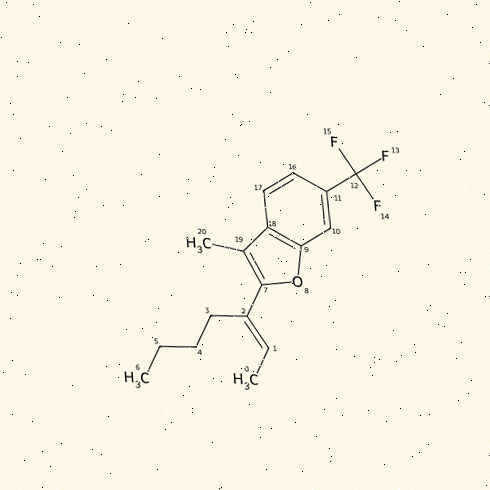 C/C=C(\CCCC)c1oc2cc(C(F)(F)F)ccc2c1C